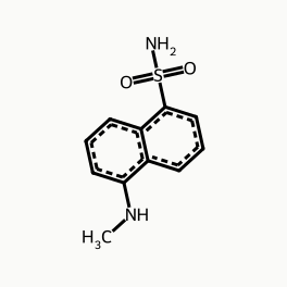 CNc1cccc2c(S(N)(=O)=O)cccc12